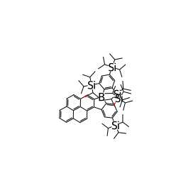 CC(C)[Si](c1cc2c(c([Si](C(C)C)(C(C)C)C(C)C)c1)B(c1c([Si](C(C)C)(C(C)C)C(C)C)cc([Si](C(C)C)(C(C)C)C(C)C)cc1[Si](C(C)C)(C(C)C)C(C)C)c1cc3ccc4cccc5ccc(c1-2)c3c45)(C(C)C)C(C)C